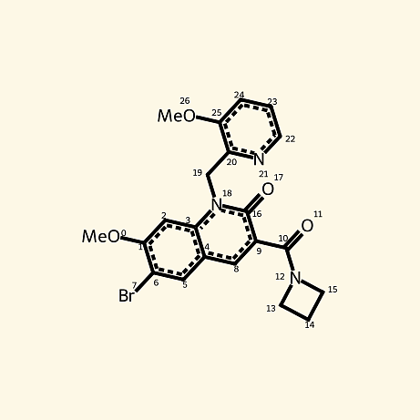 COc1cc2c(cc1Br)cc(C(=O)N1CCC1)c(=O)n2Cc1ncccc1OC